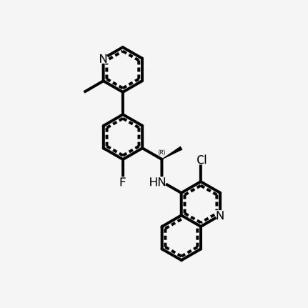 Cc1ncccc1-c1ccc(F)c([C@@H](C)Nc2c(Cl)cnc3ccccc23)c1